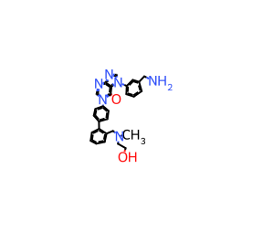 CN(CCO)Cc1ccccc1-c1ccc(-n2cnc3ncn(-c4cccc(CN)c4)c3c2=O)cc1